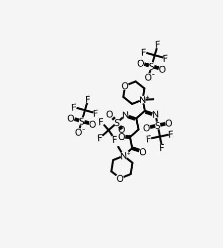 C[N+]1(C(=O)C(=O)CC(=NS(=O)(=O)C(F)(F)F)C(=NS(=O)(=O)C(F)(F)F)[N+]2(C)CCOCC2)CCOCC1.O=S(=O)([O-])C(F)(F)F.O=S(=O)([O-])C(F)(F)F